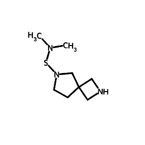 CN(C)SN1CCC2(CNC2)C1